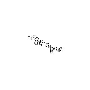 Cc1ccc(COCCC2CCN(c3cncc(OC[C@@H]4CCCN4)c3)CC2)c(C)c1